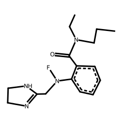 CCCN(CC)C(=O)c1ccccc1N(F)CC1=NCCN1